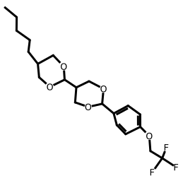 CCCCCC1COC(C2COC(c3ccc(OCC(F)(F)F)cc3)OC2)OC1